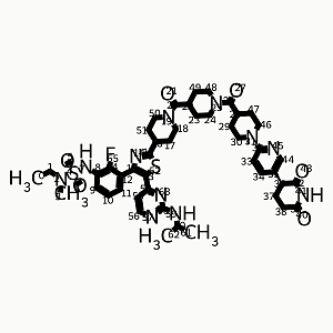 CCN(C)S(=O)(=O)Nc1cccc(-c2nc(C3CCN(C(=O)C4CCN(C(=O)C5CCN(c6ccc([C@@H]7CCC(=O)NC7=O)cn6)CC5)CC4)CC3)sc2-c2ccnc(NC(C)C)n2)c1F